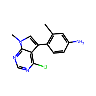 Cc1cc(N)ccc1-c1cn(C)c2ncnc(Cl)c12